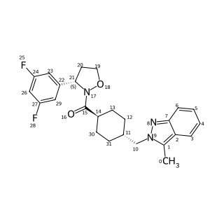 Cc1c2ccccc2nn1C[C@H]1CC[C@H](C(=O)N2OCC[C@H]2c2cc(F)cc(F)c2)CC1